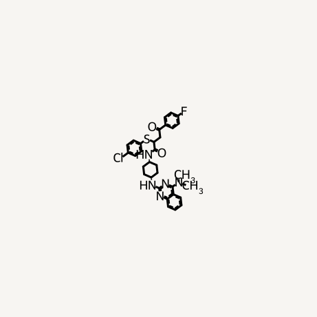 CN(C)c1nc(N[C@H]2CC[C@@H](NC(=O)C(CC(=O)c3ccc(F)cc3)Sc3ccc(Cl)cc3)CC2)nc2ccccc12